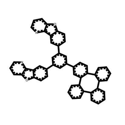 c1ccc2c(c1)-c1ccccc1-c1ccc(-c3cc(-c4ccc5oc6cccnc6c5c4)cc(-c4ccc5oc6cccnc6c5c4)c3)cc1-c1ccccc1-2